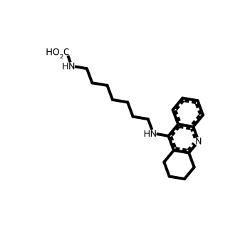 O=C(O)NCCCCCCCNc1c2c(nc3ccccc13)CCCC2